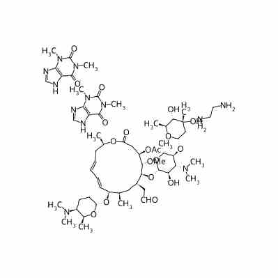 CO[C@@H]1[C@@H](O[C@@H]2O[C@H](C)[C@@H](O[C@H]3C[C@@](C)(O)[C@@H](O)[C@H](C)O3)[C@H](N(C)C)[C@H]2O)[C@@H](CC=O)C[C@@H](C)[C@@H](O[C@H]2CC[C@H](N(C)C)[C@H](C)O2)/C=C/C=C/C[C@@H](C)OC(=O)C[C@H]1OC(C)=O.Cn1c(=O)c2[nH]cnc2n(C)c1=O.Cn1c(=O)c2[nH]cnc2n(C)c1=O.NCCN